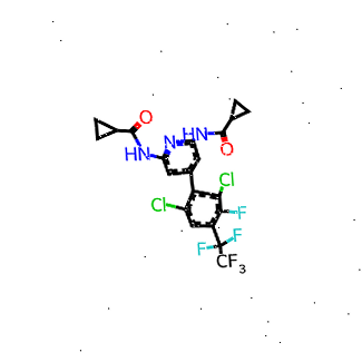 O=C(Nc1cc(-c2c(Cl)cc(C(F)(F)C(F)(F)F)c(F)c2Cl)cc(NC(=O)C2CC2)n1)C1CC1